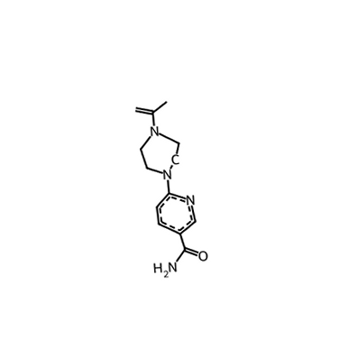 C=C(C)N1CCN(c2ccc(C(N)=O)cn2)CC1